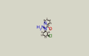 NN(C(=O)c1ccccn1)c1cccc(Cl)c1